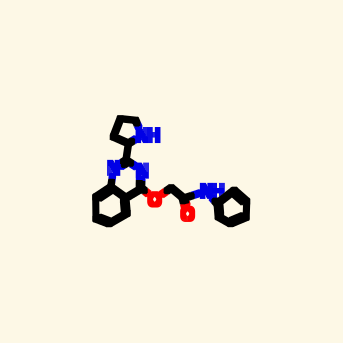 O=C(COc1nc(C2CCCN2)nc2ccccc12)Nc1ccccc1